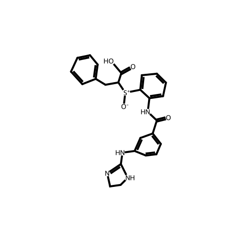 O=C(Nc1ccccc1[S+]([O-])C(Cc1ccccc1)C(=O)O)c1cccc(NC2=NCCN2)c1